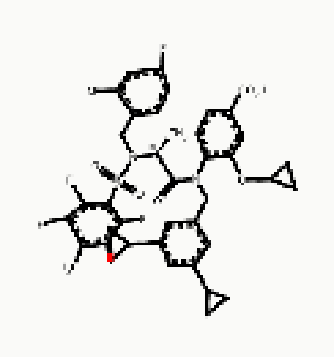 Cc1c(F)c(F)c(S(=O)(=O)N(Cc2ccc(F)cc2Cl)[C@@H](C)C(=O)N(Cc2cc(C3CC3)cc(C3CC3)c2)c2ccc(C(=O)O)cc2OC2CC2)c(F)c1F